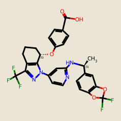 C[C@H](Nc1cc(-n2nc(C(F)(F)F)c3c2[C@@H](Oc2ccc(C(=O)O)cc2)CCC3)ccn1)c1ccc2c(c1)OC(F)(F)O2